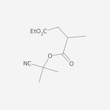 CCOC(=O)CC(C)C(=O)OC(C)(C)C#N